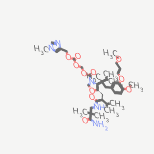 COCCCOc1cc(C[C@@](C)(C(C)C)[C@H]2[C@H](C[C@H](C(=O)NCC(C)(C)C(N)=O)C(C)C)OCN2C(=O)OCOC(=O)OCc2cn(C)cn2)ccc1OC